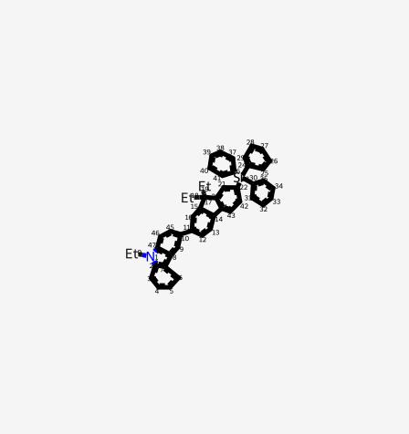 CCn1c2ccccc2c2cc(-c3ccc4c(c3)C(CC)(CC)c3cc([Si](c5ccccc5)(c5ccccc5)c5ccccc5)ccc3-4)ccc21